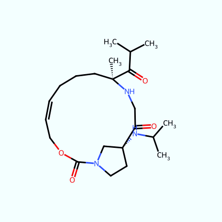 CC(C)N[C@]12CCN(C1)C(=O)OCC=CCCC[C@@](C)(C(=O)C(C)C)NCC2=O